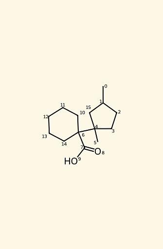 CC1CCC(C)(C2(C(=O)O)CCCCC2)C1